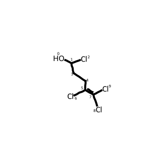 OC(Cl)CCC(Cl)=C(Cl)Cl